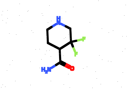 NC(=O)C1CCNCC1(F)F